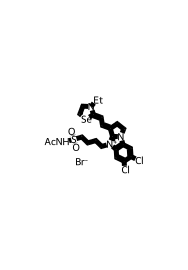 CCN1CC[Se]C1=CC=C1CCn2c1[n+](CCCCS(=O)(=O)NC(C)=O)c1cc(Cl)c(Cl)cc12.[Br-]